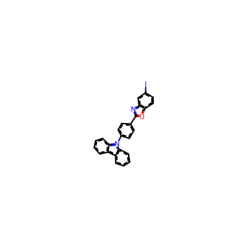 Ic1ccc2oc(-c3ccc(-n4c5ccccc5c5ccccc54)cc3)nc2c1